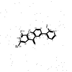 C=C1c2cc(-c3cccnc3F)ccc2Oc2c1cc(Br)nc2F